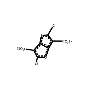 CCOC(=O)c1c(Cl)sc2c(C(=O)OCC)c(Cl)sc12